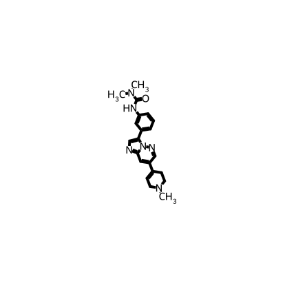 CN1CC=C(c2cnn3c(-c4cccc(NC(=O)N(C)C)c4)cnc3c2)CC1